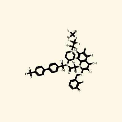 [2H]C1=C(SCc2cccc(F)c2F)N(C([2H])([2H])C(=O)N(C2CCN(C([2H])([2H])C([2H])([2H])OC([2H])([2H])[2H])CC2)C([2H])([2H])c2ccc(-c3ccc(C(F)(F)F)cc3)cc2)c2c([2H])c([2H])c(C)c([2H])c2C1O